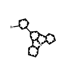 Brc1cccc(-c2cc3c4ccccc4n4c5ccccc5c(c2)c34)c1